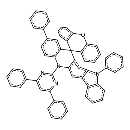 c1ccc(-c2ccc3c(c2)C2(c4ccccc4Oc4ccccc42)c2cc4c(cc2N3c2nc(-c3ccccc3)cc(-c3ccccc3)n2)c2ccccc2n4-c2ccccc2)cc1